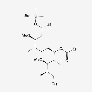 CCC(=O)O[C@H](CC[C@H](C)[C@H](C[C@@H](CC)O[Si](C)(C)C(C)(C)C)OC)[C@H](C)[C@H](OC)[C@H](C)CO